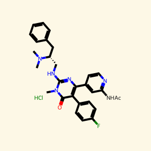 CC(=O)Nc1cc(-c2nc(NC[C@@H](Cc3ccccc3)N(C)C)n(C)c(=O)c2-c2ccc(F)cc2)ccn1.Cl